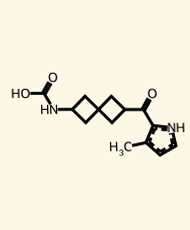 Cc1cc[nH]c1C(=O)C1CC2(CC(NC(=O)O)C2)C1